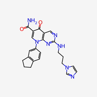 NC(=O)c1cn(-c2ccc3c(c2)CCC3)c2nc(NCCCn3ccnc3)ncc2c1=O